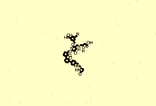 CNc1cc(C#N)cc(COc2nc(OCc3cccc(-c4cccc(-c5ccc(CNC[C@@H]6CCC(=O)N6)cc5)c4Cl)c3Cl)c(Cl)cc2CNC[C@@H](O)CC(=O)O)c1